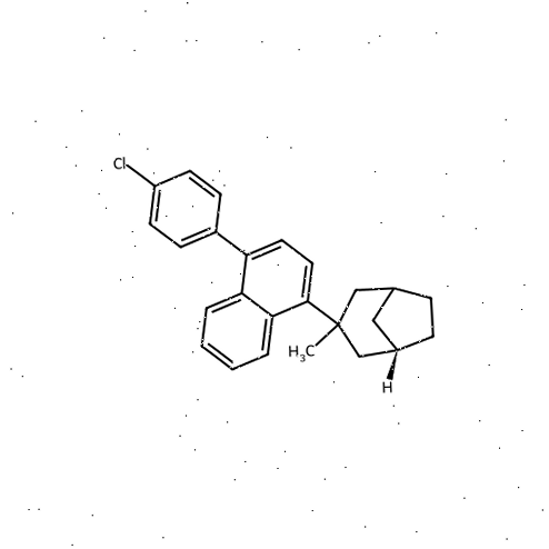 CC1(c2ccc(-c3ccc(Cl)cc3)c3ccccc23)CC2CC[C@@H](C2)C1